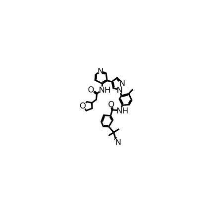 Cc1ccc(NC(=O)c2cccc(C(C)(C)C#N)c2)cc1-n1cc(-c2cnccc2NC(=O)CC2CCOC2)cn1